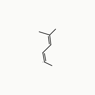 C/[C]=C\C=C(C)C